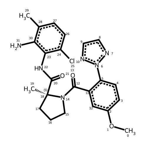 COc1ccc(-n2nccn2)c(C(=O)N2CCC[C@@]2(C)C(=O)Nc2c(Cl)ccc(C)c2N)c1